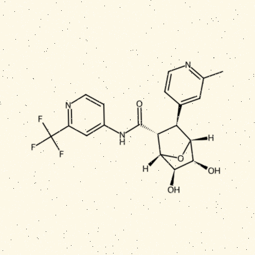 Cc1cc([C@H]2[C@H]3O[C@H]([C@H](O)[C@@H]3O)[C@@H]2C(=O)Nc2ccnc(C(F)(F)F)c2)ccn1